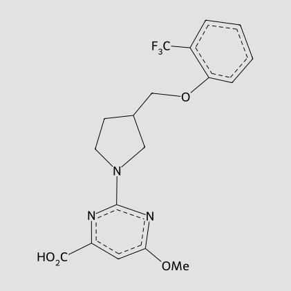 COc1cc(C(=O)O)nc(N2CCC(COc3ccccc3C(F)(F)F)C2)n1